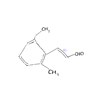 Cc1cccc(C)c1/C=C/C=O